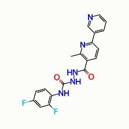 Cc1nc(-c2cccnc2)ccc1C(=O)NNC(=O)Nc1ccc(F)cc1F